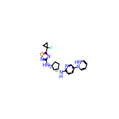 FC1(c2nc(N[C@H]3CC[C@H](Nc4ccc(N5C=CC=CN5)cn4)C3)no2)CC1